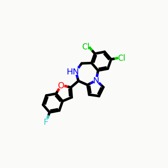 Fc1ccc2oc(C3NCc4c(Cl)cc(Cl)cc4-n4cccc43)cc2c1